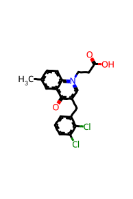 Cc1ccc2c(c1)c(=O)c(Cc1cccc(Cl)c1Cl)cn2CCC(=O)O